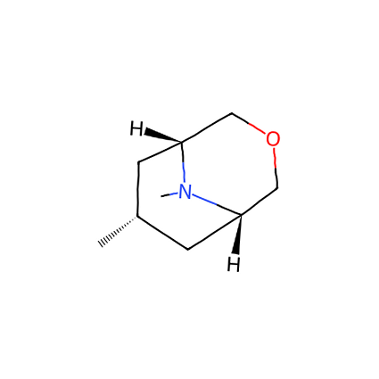 C[C@H]1C[C@H]2COC[C@@H](C1)N2C